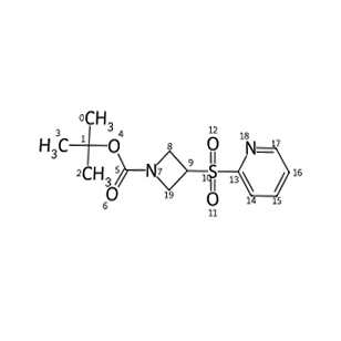 CC(C)(C)OC(=O)N1CC(S(=O)(=O)c2ccccn2)C1